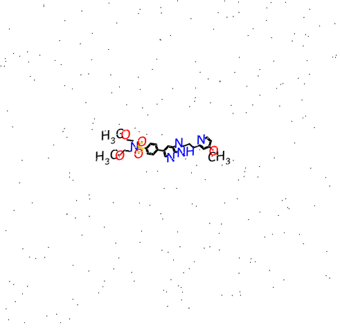 COCCN(CCOC)S(=O)(=O)c1ccc(-c2cnc3[nH]c(CCc4cc(OC)ccn4)nc3c2)cc1